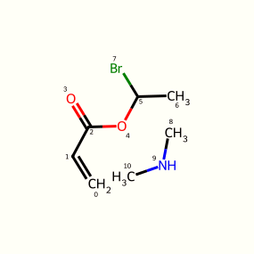 C=CC(=O)OC(C)Br.CNC